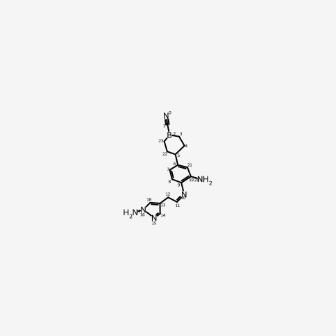 N#CB1CCC(c2ccc(/N=C\Cc3cnn(N)c3)c(N)c2)CC1